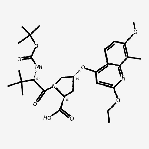 CCOc1cc(O[C@@H]2C[C@@H](C(=O)O)N(C(=O)[C@@H](NC(=O)OC(C)(C)C)C(C)(C)C)C2)c2ccc(OC)c(C)c2n1